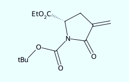 C=C1C[C@@H](C(=O)OCC)N(C(=O)OC(C)(C)C)C1=O